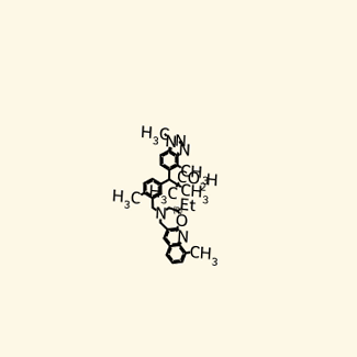 CC[C@@H]1CN(Cc2cc(C(c3ccc4c(nnn4C)c3C)C(C)(C)C(=O)O)ccc2C)Cc2cc3cccc(C)c3nc2O1